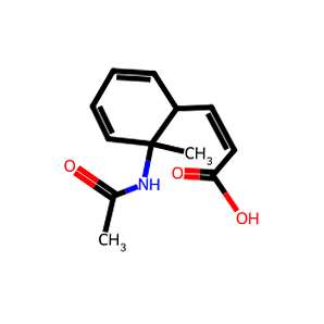 CC(=O)NC1(C)C=CC=CC1/C=C\C(=O)O